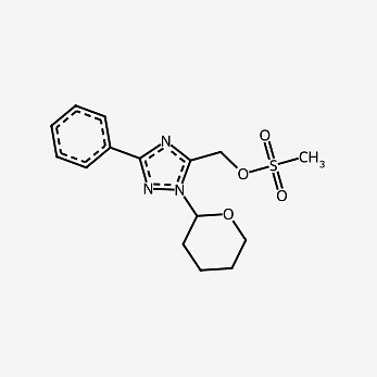 CS(=O)(=O)OCc1nc(-c2ccccc2)nn1C1CCCCO1